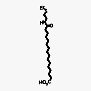 CCSCCNC(=O)CCCCCCCCCCCCCCC(=O)O